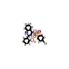 COc1ccccc1-c1cc(OS(=O)(=O)c2ccc(C)cc2)c2ccccc2n1